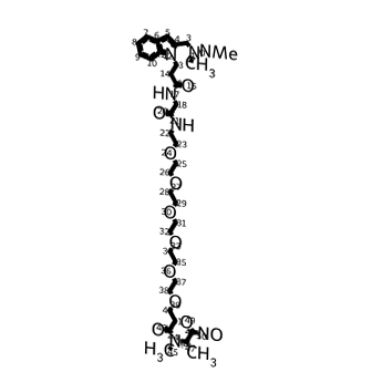 CNN(C)Cc1cc2ccccc2n1CCC(=O)NCC(=O)NCCOCCOCCOCCOCCOCCOCCC(=O)N(C)[C@@H](C)C(=O)N=O